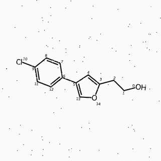 OCCc1cc(-c2ccc(Cl)cc2)co1